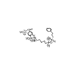 [2H]C([2H])(CCCCCNC([2H])([2H])C([2H])(O)c1ccc(O)c(C([2H])([2H])O)c1)OC([2H])([2H])CCCc1ccccc1